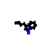 [CH]=CCc1c[nH]c2ccccc12